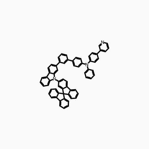 c1ccc(N(c2ccc(-c3cccnc3)cc2)c2ccc(-c3cccc(-c4ccc5c6ccccc6n(-c6ccc7c(c6)C6(c8ccccc8-c8ccccc86)c6ccccc6-7)c5c4)c3)cc2)cc1